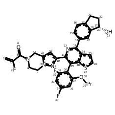 C=C(F)C(=O)N1CCn2nc(-c3nc(-c4ccc5c(c4)[C@@H](O)CC5)c4ccsc4c3-c3c(F)cc(F)cc3OC(C)C)cc2C1